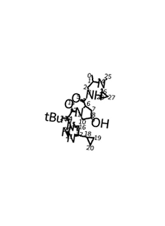 CC(CNC(=O)C1CC(O)CN1C(=O)[C@@H](n1cc(C2CC2)nn1)C(C)(C)C)N(C)C1CC1